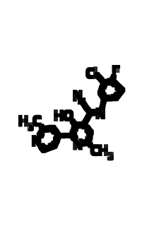 Cc1cc(-c2nc(C)cc(/C(C#N)=N/c3ccc(F)c(Cl)c3)c2O)ccn1